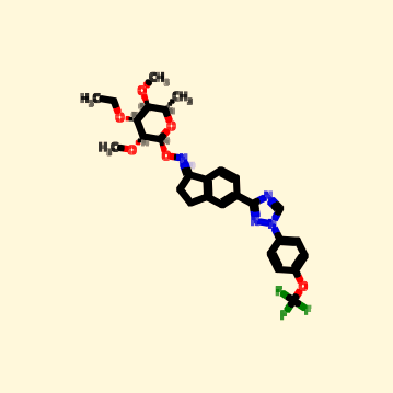 CCO[C@@H]1[C@@H](OC)[C@H](C)O[C@@H](O/N=C2\CCc3cc(-c4ncn(-c5ccc(OC(F)(F)F)cc5)n4)ccc32)[C@@H]1OC